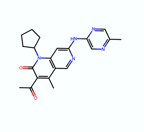 CC(=O)c1c(C)c2cnc(Nc3cnc(C)cn3)cc2n(C2CCCC2)c1=O